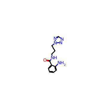 Nc1ccccc1C(=O)NCCCn1ncnn1